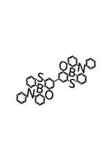 c1ccc(N2c3cccc4c3B3c5c(cc(-c6cc7c8c(c6)Sc6cccc9c6B8c6c(cccc6N9c6ccccc6)O7)cc5Sc5cccc2c53)O4)cc1